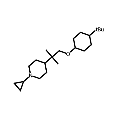 CC(C)(C)C1CCC(OCC(C)(C)C2CCN(C3CC3)CC2)CC1